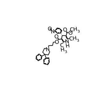 COC(=O)C1=C(C)NC(C)=C(C(=O)OCCCN2CCC(c3ccccc3)(c3ccccc3)CC2)[C@@H]1c1cccc(N=O)c1